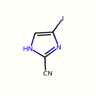 N#Cc1nc(I)c[nH]1